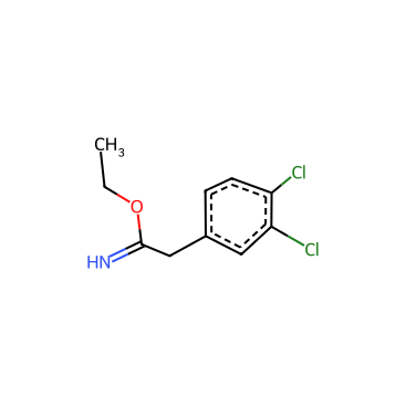 CCOC(=N)Cc1ccc(Cl)c(Cl)c1